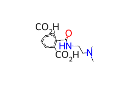 CN(C)CCNC(=O)c1c(C(=O)O)cccc1C(=O)O